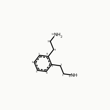 [NH]CCc1ccccc1CCN